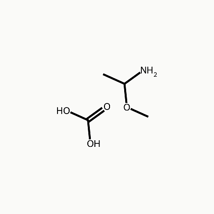 COC(C)N.O=C(O)O